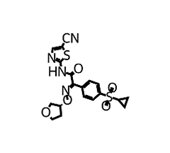 N#Cc1cnc(NC(=O)/C(=N/O[C@@H]2CCOC2)c2ccc(S(=O)(=O)C3CC3)cc2)s1